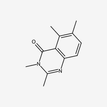 Cc1ccc2nc(C)n(C)c(=O)c2c1C